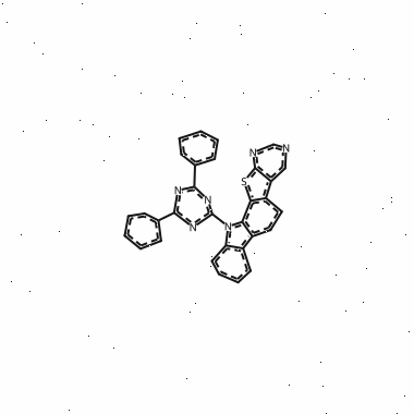 c1ccc(-c2nc(-c3ccccc3)nc(-n3c4ccccc4c4ccc5c6cncnc6sc5c43)n2)cc1